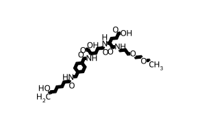 C=C(O)CCCCC(=O)NCC1CCC(C(=O)NC(CCC(=O)NC(CCC(=O)O)C(=O)NCCCOCCOCC)C(=O)O)CC1